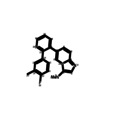 CNc1cnc2ccc(-c3cccnc3-c3ccc(F)c(C)c3)cn12